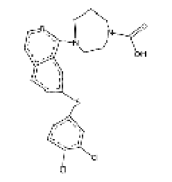 O=C(O)N1CCCN(c2nccc3ccc(Sc4ccc(Cl)c(Cl)c4)cc23)CC1